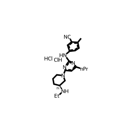 CCCc1cc(N2CCC[C@H](NCC)C2)nc(Nc2ccc(C)c(C#N)c2)n1.Cl.Cl